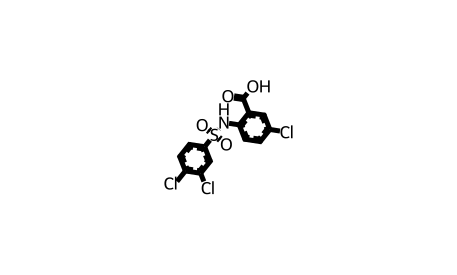 O=C(O)c1cc(Cl)ccc1NS(=O)(=O)c1ccc(Cl)c(Cl)c1